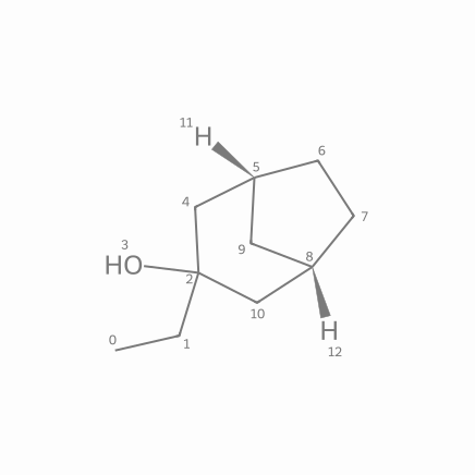 CCC1(O)C[C@@H]2CC[C@@H](C2)C1